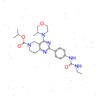 CCNC(=O)Nc1ccc(-c2nc3c(c(N4CCOCC4C)n2)CN(C(=O)OC(C)C)CC3)cc1